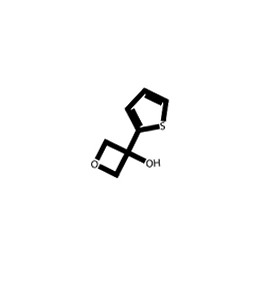 OC1(c2cccs2)COC1